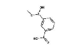 COB(O)c1cccc(C(=O)O)c1